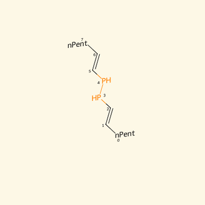 CCCCCC=CPPC=CCCCCC